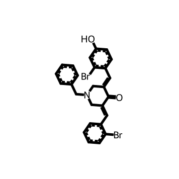 O=C1/C(=C/c2ccccc2Br)CN(Cc2ccccc2)C/C1=C\c1ccc(O)cc1Br